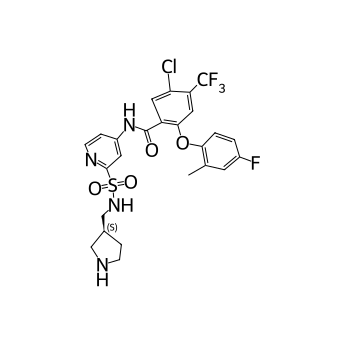 Cc1cc(F)ccc1Oc1cc(C(F)(F)F)c(Cl)cc1C(=O)Nc1ccnc(S(=O)(=O)NC[C@H]2CCNC2)c1